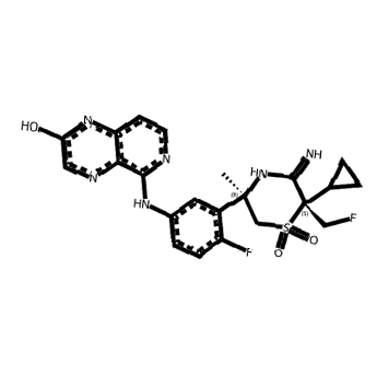 C[C@@]1(c2cc(Nc3nccc4nc(O)cnc34)ccc2F)CS(=O)(=O)[C@@](CF)(C2CC2)C(=N)N1